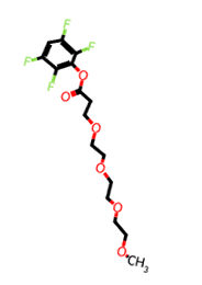 COCCOCCOCCOCCC(=O)Oc1c(F)c(F)cc(F)c1F